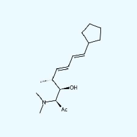 CC(=O)[C@H]([C@H](O)[C@H](C)/C=C/C=C/C1CCCC1)N(C)C